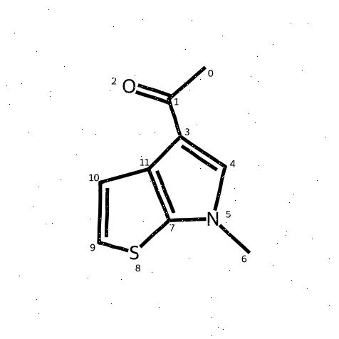 CC(=O)c1cn(C)c2sccc12